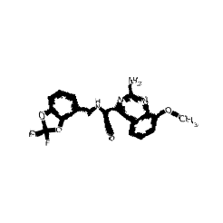 COc1cccc2c(C(=O)NCc3cccc4c3OC(F)(F)O4)nc(N)nc12